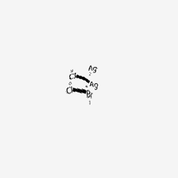 ClBr.[Ag].[Cl][Ag]